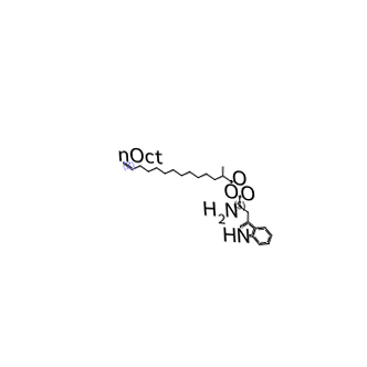 CCCCCCCC/C=C\CCCCCCCCCCC(C)C(=O)OC(=O)[C@@H](N)Cc1c[nH]c2ccccc12